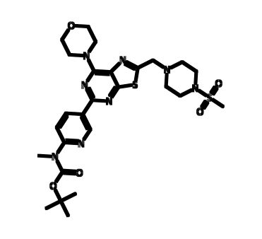 CN(C(=O)OC(C)(C)C)c1ccc(-c2nc(N3CCOCC3)c3nc(CN4CCN(S(C)(=O)=O)CC4)sc3n2)cn1